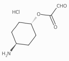 Cl.N[C@H]1CC[C@H](OC(=O)C=O)CC1